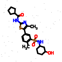 Cc1ccc(-c2sc(NC(=O)C3CCCC3)nc2C)cc1S(=O)(=O)NC1CCCC(O)C1